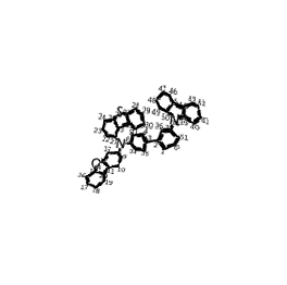 c1cc(-c2ccc(N(c3ccc4c(c3)oc3ccccc34)c3cccc4sc5ccccc5c34)cc2)cc(-n2c3ccccc3c3ccccc32)c1